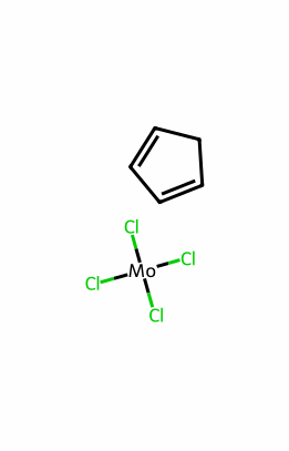 C1=CCC=C1.[Cl][Mo]([Cl])([Cl])[Cl]